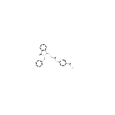 COC(=O)c1ccc(NC(=O)COC2c3ccccc3C(=O)N2Cc2ccccc2)nc1